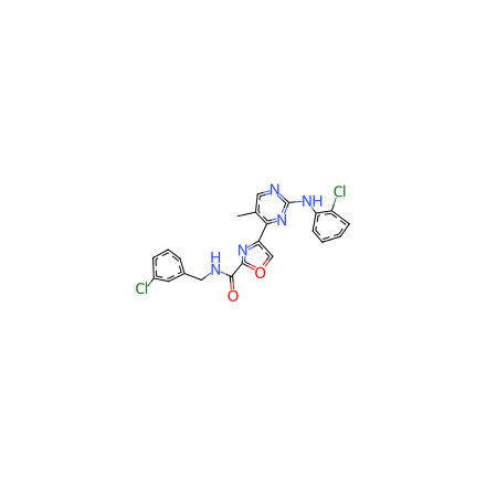 Cc1cnc(Nc2ccccc2Cl)nc1-c1coc(C(=O)NCc2cccc(Cl)c2)n1